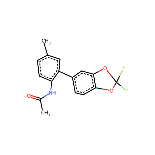 CC(=O)Nc1ccc(C)cc1-c1ccc2c(c1)OC(F)(F)O2